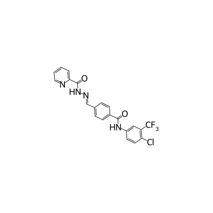 O=C(Nc1ccc(Cl)c(C(F)(F)F)c1)c1ccc(C=NNC(=O)c2ccccn2)cc1